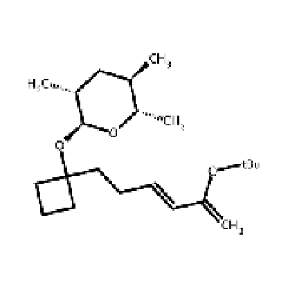 C=C(/C=C/CCC1(O[C@@H]2O[C@@H](C)[C@H](C)C[C@H]2C)CCC1)OC(C)(C)C